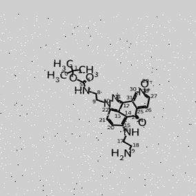 CC(C)(C)OC(=O)NCCn1nc2c3c(c(NCCN)ccc31)C(=O)c1cc[n+]([O-])cc1-2